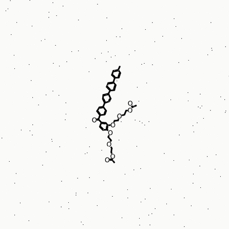 CC(=O)OCCOCCOc1ccc(C(=O)c2ccc(-c3ccc(-c4ccc(-c5ccc(C)cc5)cc4)cc3)cc2)cc1OCCOCCOC(C)=O